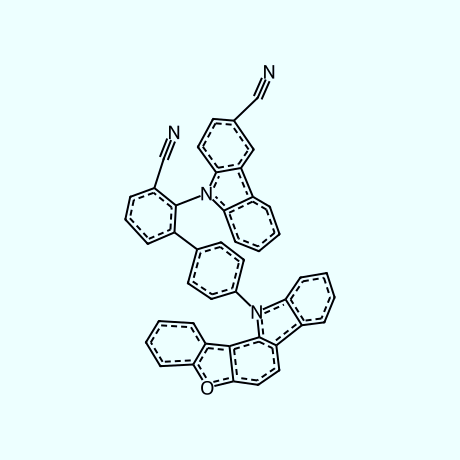 N#Cc1ccc2c(c1)c1ccccc1n2-c1c(C#N)cccc1-c1ccc(-n2c3ccccc3c3ccc4oc5ccccc5c4c32)cc1